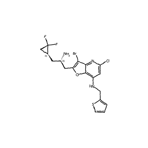 N[C@H](Cc1oc2c(NCc3cccs3)cc(Cl)nc2c1Br)C[C@H]1CC1(F)F